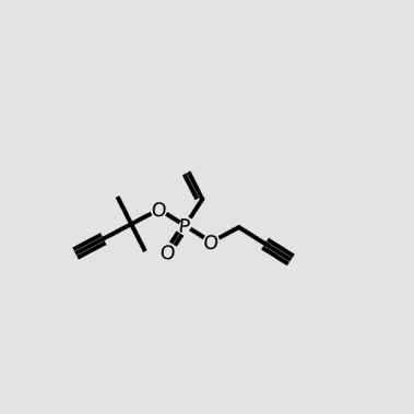 C#CCOP(=O)(C=C)OC(C)(C)C#C